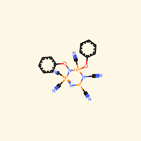 N#CN1P(C#N)N=P(C#N)(C#N)N(Oc2ccccc2)[PH]1(C#N)Oc1ccccc1